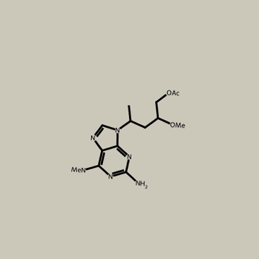 CNc1nc(N)nc2c1ncn2C(C)CC(COC(C)=O)OC